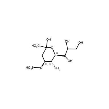 N[C@@H]1[C@@H](OS(=O)(=O)O)CC(O)(C(=O)O)O[C@H]1C(O)C(O)CO